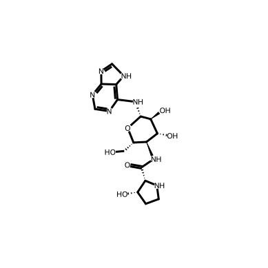 O=C(N[C@@H]1[C@@H](O)[C@H](O)[C@@H](Nc2ncnc3nc[nH]c23)O[C@H]1CO)[C@@H]1NCC[C@@H]1O